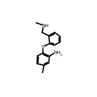 CNCc1ccccc1Sc1ccc(C)cc1N